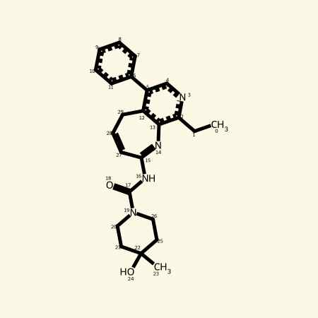 CCc1ncc(-c2ccccc2)c2c1N=C(NC(=O)N1CCC(C)(O)CC1)C=CC2